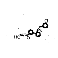 O=C(NCCO)c1cccc(-c2cccc3nn(Cc4cccc(Cl)c4)cc23)c1